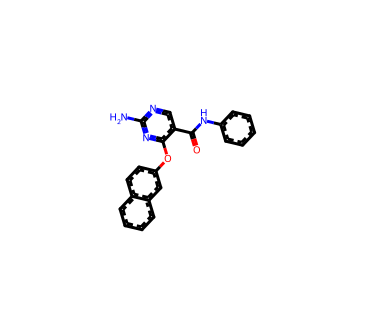 Nc1ncc(C(=O)Nc2ccccc2)c(Oc2ccc3ccccc3c2)n1